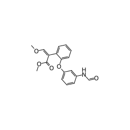 COC=C(C(=O)OC)c1ccccc1Oc1cccc(NC=O)c1